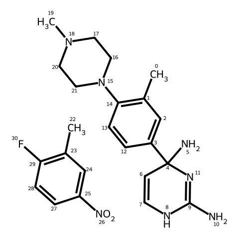 Cc1cc(C2(N)C=CNC(N)=N2)ccc1N1CCN(C)CC1.Cc1cc([N+](=O)[O-])ccc1F